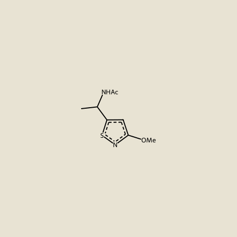 COc1cc(C(C)NC(C)=O)sn1